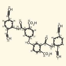 C#Cc1ccc(C#C)c(NC(=O)c2cc(Oc3ccc(C(=O)O)c(C(=O)Nc4cc(C#C)ccc4C#C)c3)ccc2C(=O)O)c1